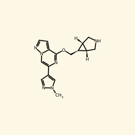 Cn1cc(-c2cn3nccc3c(OC[C@H]3[C@@H]4CNC[C@@H]43)n2)cn1